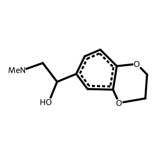 CNCC(O)c1ccc2c(c1)OCCO2